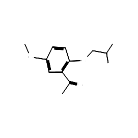 COc1ccc(OCC(C)C)c(C(C)=O)c1